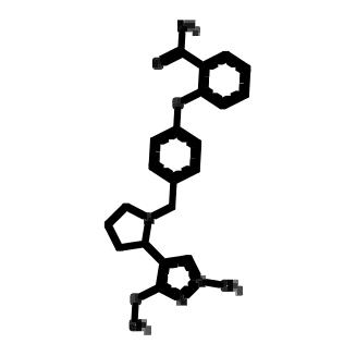 COc1nn(C)cc1C1CCCN1Cc1ccc(Oc2ccccc2C(N)=O)cc1